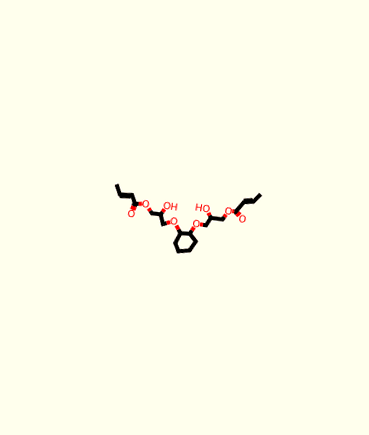 CC=CC(=O)OCC(O)COC1CCCCC1OCC(O)COC(=O)C=CC